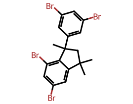 CC1(C)CC(C)(c2cc(Br)cc(Br)c2)c2c(Br)cc(Br)cc21